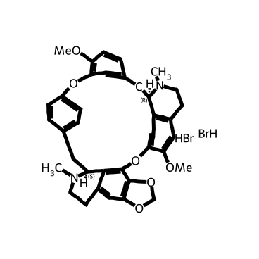 Br.Br.COc1ccc2cc1Oc1ccc(cc1)C[C@H]1c3c(cc4c(c3Oc3cc5c(cc3OC)CCN(C)[C@@H]5C2)OCO4)CCN1C